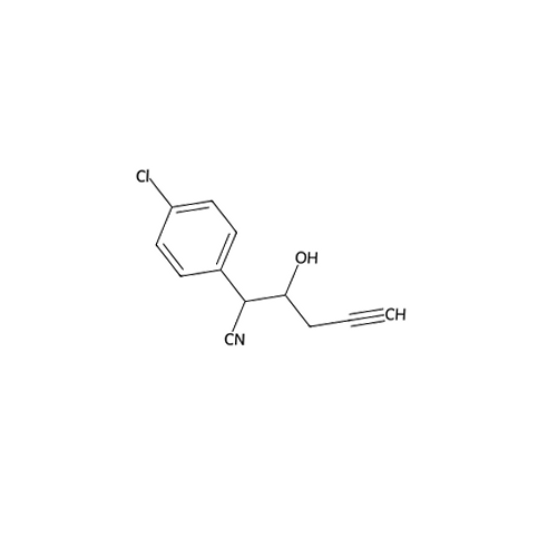 C#CCC(O)C(C#N)c1ccc(Cl)cc1